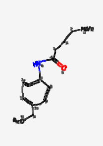 CNCCCC(=O)Nc1ccc(COC(C)=O)cc1